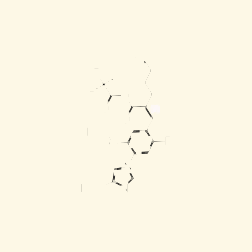 COc1cc(/C=C(/CCCCl)C(=O)OC(=O)C(F)(F)F)c(F)cc1-n1cnc(C)c1